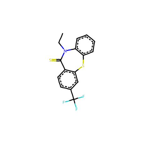 CCN1C(=S)c2ccc(C(F)(F)F)cc2Sc2ccccc21